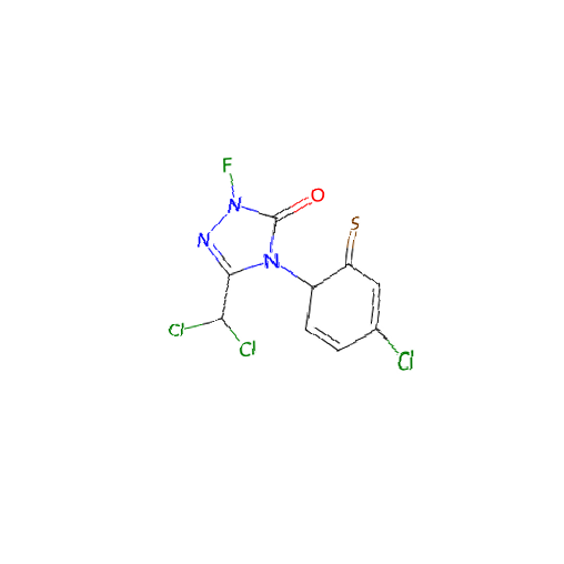 O=c1n(F)nc(C(Cl)Cl)n1C1C=CC(Cl)=CC1=S